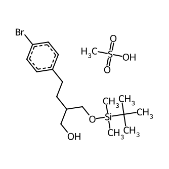 CC(C)(C)[Si](C)(C)OCC(CO)CCc1ccc(Br)cc1.CS(=O)(=O)O